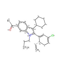 C=C[C@H]1CC=C(Cl)C=C1c1c(C2CCCCC2)c2ccc(C(=O)CC)cc2n1CCC(=O)O